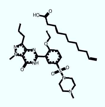 C=CCCCCCCCCC(=O)O.CCCc1nn(C)c2c(=O)[nH]c(-c3cc(S(=O)(=O)N4CCN(C)CC4)ccc3OCC)nc12